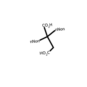 CCCCCCCCCC(CCCCCCCCC)(CC(=O)O)C(=O)O